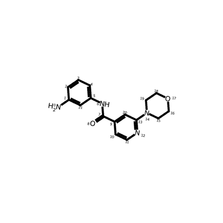 Nc1cccc(NC(=O)c2ccnc(N3CCOCC3)c2)c1